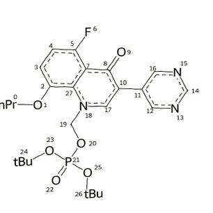 CCCOc1ccc(F)c2c(=O)c(-c3cncnc3)cn(COP(=O)(OC(C)(C)C)OC(C)(C)C)c12